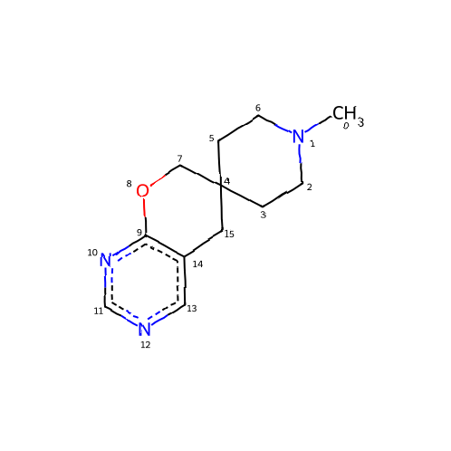 CN1CCC2(CC1)COc1ncncc1C2